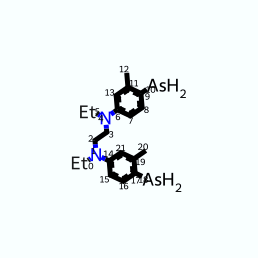 CCN(CCN(CC)c1ccc([AsH2])c(C)c1)c1ccc([AsH2])c(C)c1